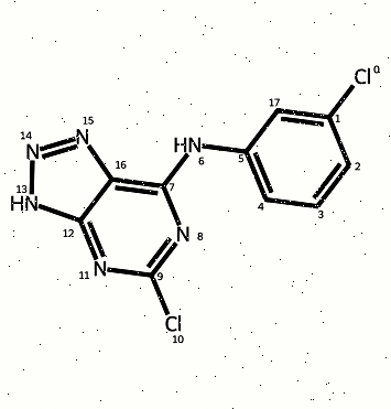 Clc1cccc(Nc2nc(Cl)nc3[nH]nnc23)c1